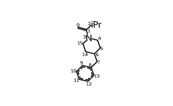 C=C(C(C)C)N1CCC(Cc2ccccc2)CC1